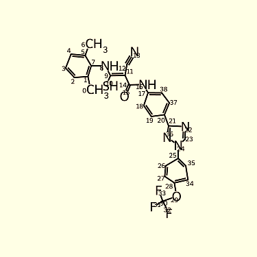 Cc1cccc(C)c1N/C(S)=C(\C#N)C(=O)Nc1ccc(-c2ncn(-c3ccc(OC(F)(F)F)cc3)n2)cc1